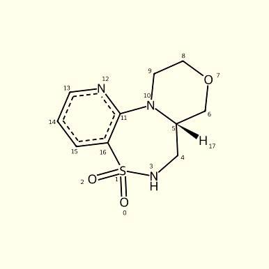 O=S1(=O)NC[C@H]2COCCN2c2ncccc21